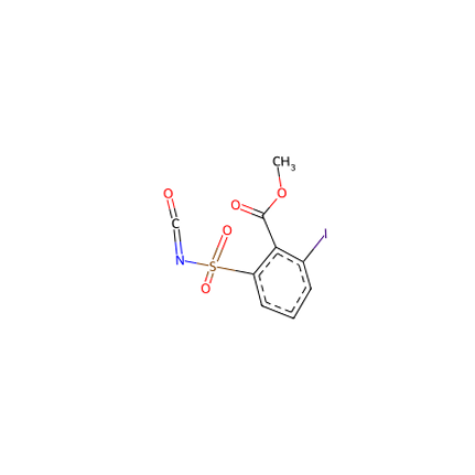 COC(=O)c1c(I)cccc1S(=O)(=O)N=C=O